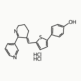 Cl.Cl.Oc1ccc(-c2ccc(C=C3CCCN=C3c3cccnc3)s2)cc1